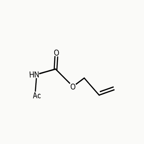 [CH2]C(=O)NC(=O)OCC=C